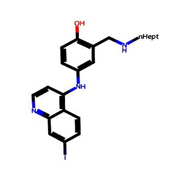 CCCCCCCNCc1cc(Nc2ccnc3cc(I)ccc23)ccc1O